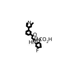 Cc1cc(-c2cccc(C(=O)CC(=O)Nc3cc(F)ccc3NC(=O)O)c2)ccn1